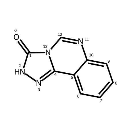 O=c1[nH]nc2c3ccccc3ncn12